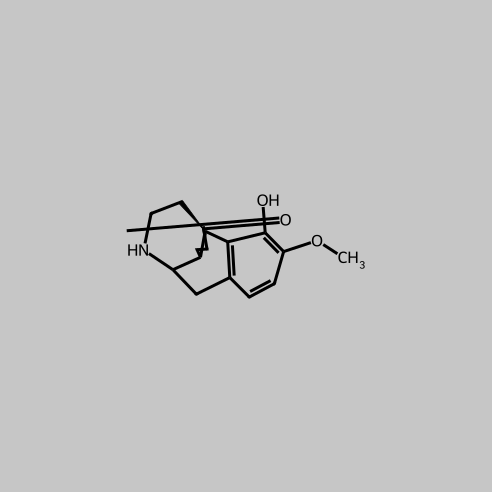 COc1ccc2c(c1O)[C@@]13CCNC(C2)C1CCC(=O)C3